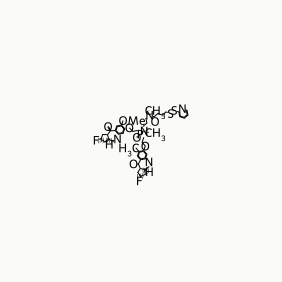 COc1cc2c(cc1OCCP(=O)(CCOc1cc3c(cc1C)C(=O)C1C[C@@H](F)C[C@H]1C=N3)N(C)CCCN(C)C(=O)CCCSSc1ccccn1)N=C[C@@H]1C[C@H](F)CC1C2=O